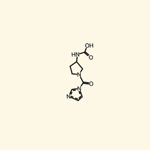 O=C(O)NC1CCN(C(=O)n2ccnc2)C1